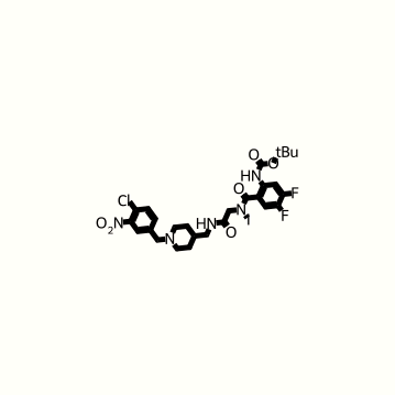 CC(C)(C)OC(=O)Nc1cc(F)c(F)cc1C(=O)N(I)CC(=O)NCC1CCN(Cc2ccc(Cl)c([N+](=O)[O-])c2)CC1